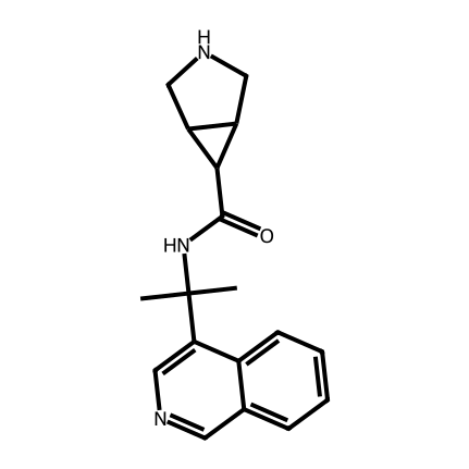 CC(C)(NC(=O)C1C2CNCC21)c1cncc2ccccc12